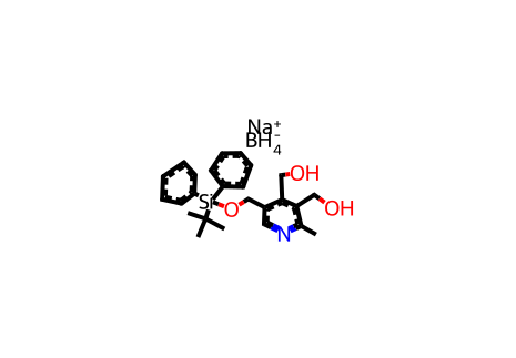 Cc1ncc(CO[Si](c2ccccc2)(c2ccccc2)C(C)(C)C)c(CO)c1CO.[BH4-].[Na+]